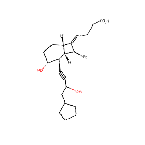 CCC1C(=CCCC(=O)O)[C@H]2CC[C@@H](O)[C@H](C#CC(O)CC3CCCC3)[C@@H]12